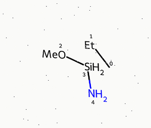 CCC.CO[SiH2]N